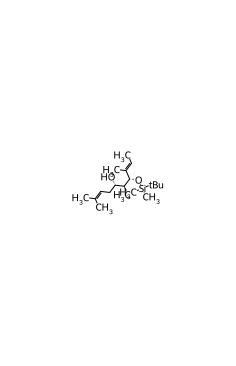 C/C=C(\C)[C@H](O[Si](C)(C)C(C)(C)C)[C@@H](C)[C@@H](O)CC=C(C)C